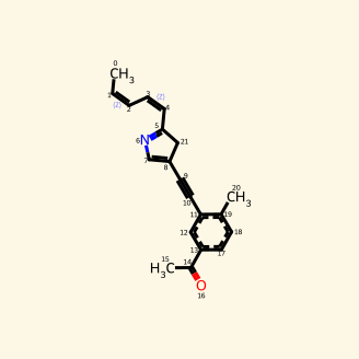 C/C=C\C=C/C1=NC=C(C#Cc2cc(C(C)=O)ccc2C)C1